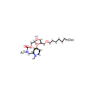 CCCCCCCCCCCCCCCCOCC1COC(COC(=O)N(Cc2cccc[n+]2C)C(C)=O)O1.[I-]